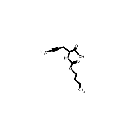 CC#CCC(NC(=O)OCCCC)C(=O)O